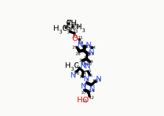 C[C@@](C#N)([C@H]1CCN(c2ncc(CO)nc2C#N)C1)n1cc(-c2ncnc3c2ccn3COCC[Si](C)(C)C)cn1